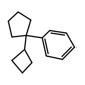 [c]1ccc(C2(C3CCC3)CCCC2)cc1